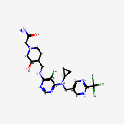 NC(=O)CN1CCC(CNc2ncnc(N(Cc3cnc(C(F)(F)F)nc3)C3CC3)c2F)C(O)C1